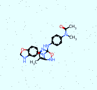 CC(=O)N(C)c1ccc(NC23N=CC(C)=C(NO2)N3c2ccc3c(c2)NCO3)cc1